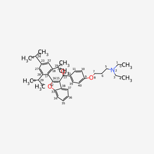 CCN(CC)CCCOc1ccc(C(=O)c2c(-c3c(C(C)C)cc(C(C)C)cc3C(C)C)oc3ccccc23)cc1